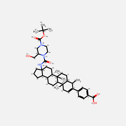 CC1C(c2ccc(C(=O)O)cc2)=CCC2(C)C1CCC1(C)C2CCC2C3CCCC3(NC(=O)N3CCN(C(=O)OC(C)(C)C)CC3CO)CC[C@]21C